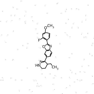 CCC1CCNN=C1c1ccc2nc(-c3ccc(OC)cc3F)oc2c1